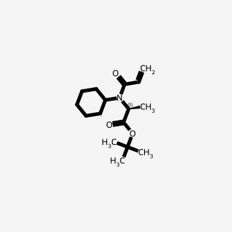 C=CC(=O)N(C1CCCCC1)[C@@H](C)C(=O)OC(C)(C)C